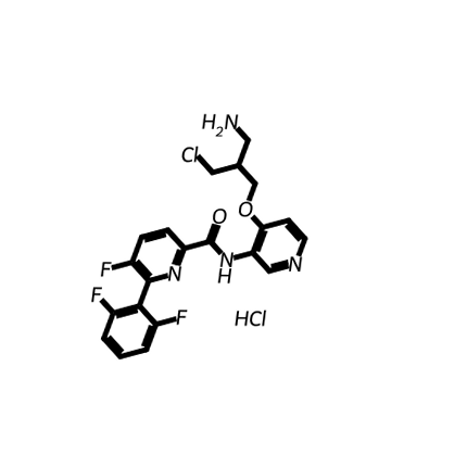 Cl.NCC(CCl)COc1ccncc1NC(=O)c1ccc(F)c(-c2c(F)cccc2F)n1